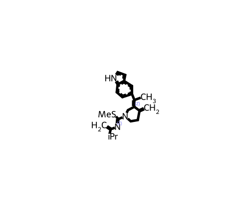 C=C1CCN(/C(=N/C(=C)C(C)C)SC)C/C1=C(/C)c1ccc2[nH]ccc2c1